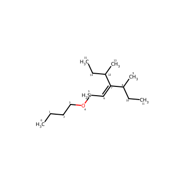 CCCCO[SiH2]C=C(C(C)CC)C(C)CC